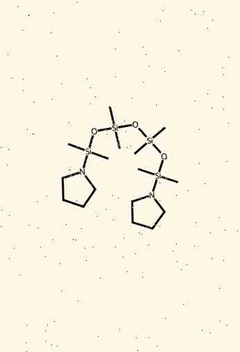 C[Si](C)(O[Si](C)(C)O[Si](C)(C)N1CCCC1)O[Si](C)(C)N1CCCC1